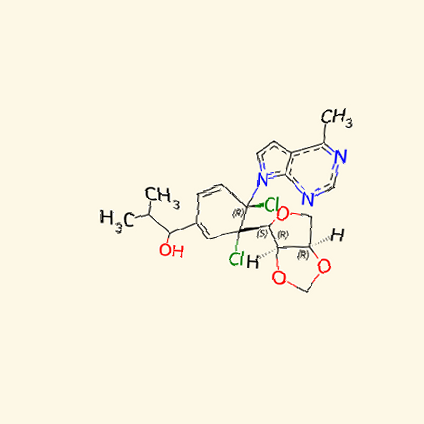 Cc1ncnc2c1ccn2[C@@]1(Cl)C=CC(C(O)C(C)C)=CC1(Cl)[C@H]1OC[C@H]2OCO[C@H]21